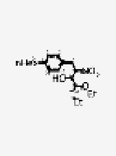 CCCCCCc1ccc(CC(C(O)C(OCC)OCC)[N+](=O)[O-])cc1